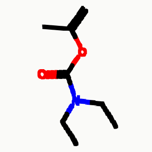 C=C(C)OC(=O)N(CC)CC